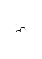 CC(CN)C(C)CN.[H+]